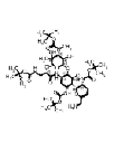 CN(C(=O)OC(C)(C)C)[C@@H]1[C@@H](O)[C@@H](O[C@H]2[C@H](NC(=O)[C@@H](O)CNC(=O)OC(C)(C)C)C[C@H](NC(=O)OC(C)(C)C)C([C@H]3OC(CN)=CC[C@H]3NC(=O)OC(C)(C)C)[C@@H]2O)OC[C@]1(C)O